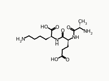 C[C@H](N)C(=O)N[C@@H](CCC(=O)O)C(=O)N[C@@H](CCCCN)C(=O)O